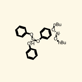 CCCC[O][Al][O]CCCC.c1ccc(O[SiH](Oc2ccccc2)Oc2ccccc2)cc1